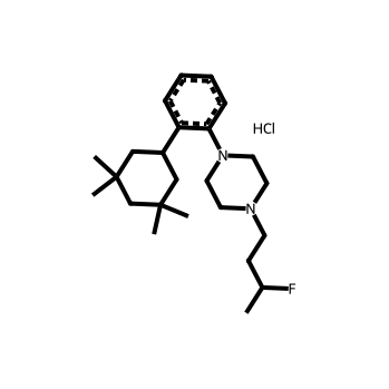 CC(F)CCN1CCN(c2ccccc2C2CC(C)(C)CC(C)(C)C2)CC1.Cl